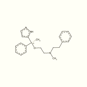 CN(CCO[C@@](C)(c1ccccc1)c1ccn[nH]1)CCc1ccccc1